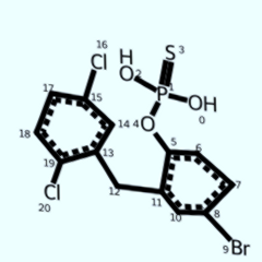 OP(O)(=S)Oc1ccc(Br)cc1Cc1cc(Cl)ccc1Cl